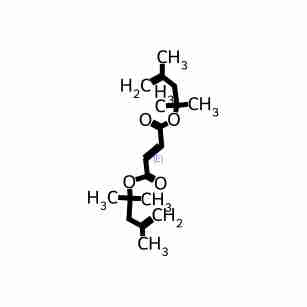 C=C(C)CC(C)(C)OC(=O)/C=C/C(=O)OC(C)(C)CC(=C)C